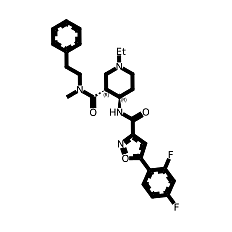 CCN1CC[C@@H](NC(=O)c2cc(-c3ccc(F)cc3F)on2)[C@H](C(=O)N(C)CCc2ccccc2)C1